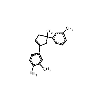 Cc1cccc(C2(C(F)(F)F)CC=C(c3ccc(N)c(C)c3)C2)c1